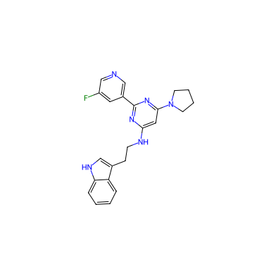 Fc1cncc(-c2nc(NCCc3c[nH]c4ccccc34)cc(N3CCCC3)n2)c1